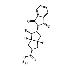 CC(C)(C)OC(=O)N1C[C@H]2C[C@H](N3C(=O)c4ccccc4C3=O)[C@H](F)[C@H]2C1